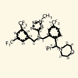 CC(C)C(c1ccc(C(F)(F)F)cc1CN(Cc1cc(C(F)(F)F)cc(C(F)(F)F)c1)c1nnn(C)n1)N1CCOCC1